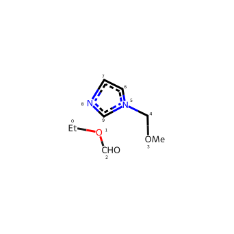 CCOC=O.COCn1ccnc1